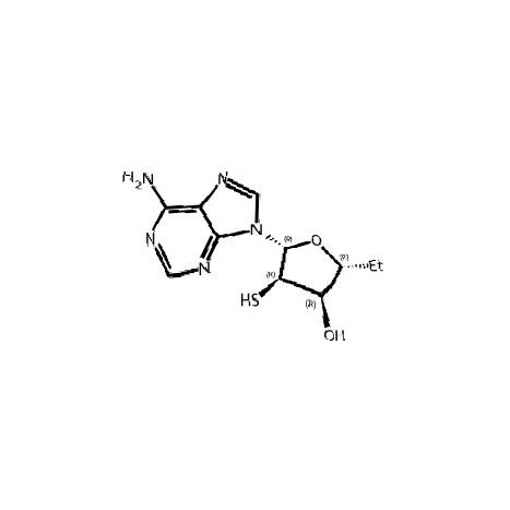 CC[C@H]1O[C@@H](n2cnc3c(N)ncnc32)[C@H](S)[C@@H]1O